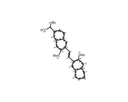 CCCCC(C)c1ccc2cc(/C=C/c3cc4ccccc4cc3SC)c(SC)cc2c1